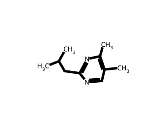 Cc1cnc(CC(C)C)nc1C